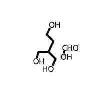 O=CO.OCCC(CO)CO